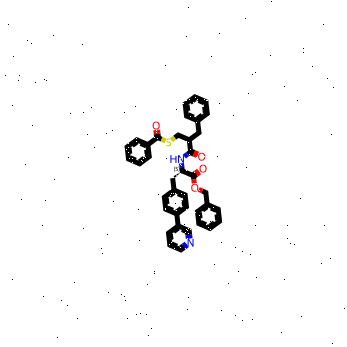 O=C(SCC(Cc1ccccc1)C(=O)N[C@@H](Cc1ccc(-c2cccnc2)cc1)C(=O)OCc1ccccc1)c1ccccc1